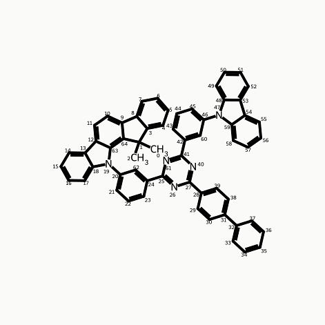 CC1(C)c2ccccc2-c2ccc3c4ccccc4n(-c4cccc(-c5nc(-c6ccc(-c7ccccc7)cc6)nc(-c6cccc(-n7c8ccccc8c8ccccc87)c6)n5)c4)c3c21